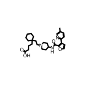 Cc1ccc(-c2ccoc2C(=O)NC2CCN(CCC3(CCCC(=O)O)CCCCC3)CC2)nc1